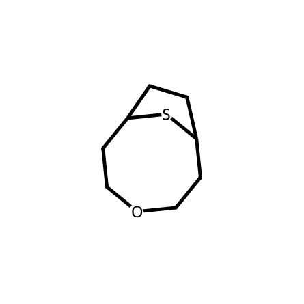 C1CC2CCC(CCO1)S2